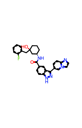 O=C(N[C@H]1CCC[C@@](O)(Cc2ccccc2F)C1)c1ccc2[nH]nc(-c3ccc4nccn4c3)c2c1